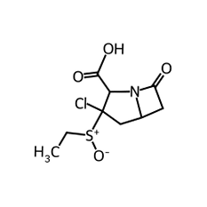 CC[S+]([O-])C1(Cl)CC2CC(=O)N2C1C(=O)O